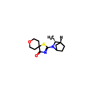 C[C@@H]1[C@@H]2CCC(C2)N1C1=NC(=O)C2(CCOCC2)S1